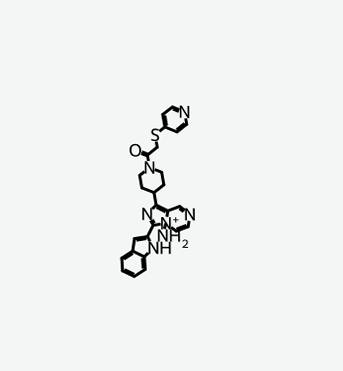 N[N+]12C=CN=CC1=C(C1CCN(C(=O)CSc3ccncc3)CC1)N=C2c1cc2ccccc2[nH]1